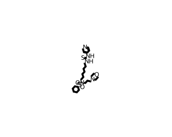 O=S(=O)(C1CCCCC1)N(CCCCCCCNC(=S)Nc1ccncc1)CCCN1CCOCC1